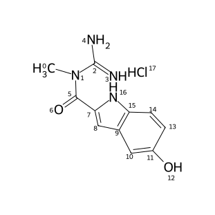 CN(C(=N)N)C(=O)c1cc2cc(O)ccc2[nH]1.Cl